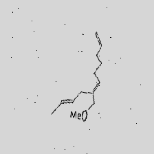 C=CCCC/C=C(\C/C=C/C)COC